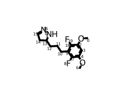 COc1cc(OC)c(F)c(CCCC2CC=NN2)c1F